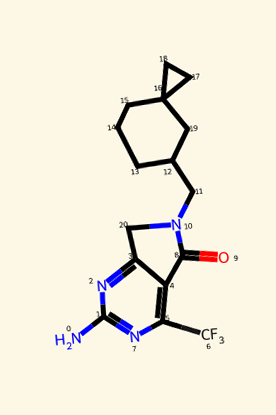 Nc1nc2c(c(C(F)(F)F)n1)C(=O)N(CC1CCCC3(CC3)C1)C2